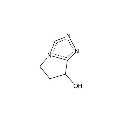 OC1CCn2cnnc21